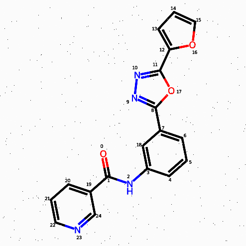 O=C(Nc1cccc(-c2nnc(-c3ccco3)o2)c1)c1cccnc1